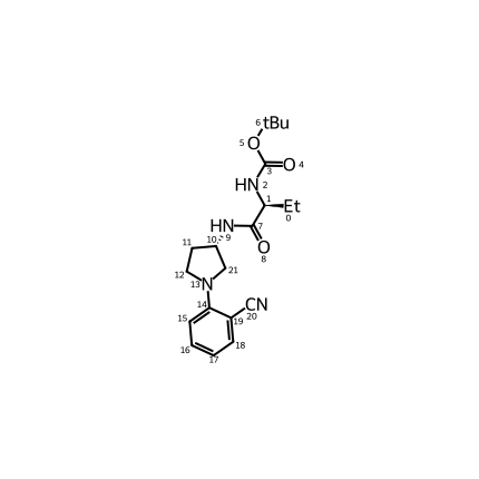 CC[C@H](NC(=O)OC(C)(C)C)C(=O)N[C@H]1CCN(c2ccccc2C#N)C1